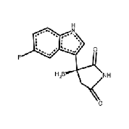 B[C@]1(c2c[nH]c3ccc(F)cc23)CC(=O)NC1=O